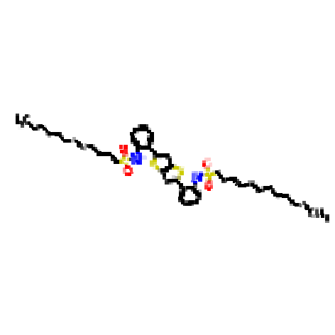 CCCCCCCCCCCCS(=O)(=O)Nc1ccccc1-c1cc2sc(-c3ccccc3NS(=O)(=O)CCCCCCCCCCCC)cc2s1